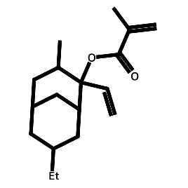 C=CC1(OC(=O)C(=C)C)C(C)CC2CC(CC)CC1C2